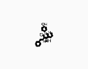 O=c1c2c(Cc3ccccc3)n[nH]c2c2cccnc2n1-c1ccc(O)cc1